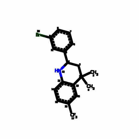 CC1(C)CC(c2cccc(Br)c2)Nc2ccc(C(F)(F)F)cc21